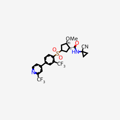 CO[C@@H]1CC(S(=O)(=O)c2ccc(-c3ccnc(C(F)(F)F)c3)cc2C(F)(F)F)C[C@H]1C(=O)NC1(C#N)CC1